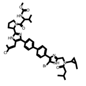 COC(=O)NC(C(=O)N1CCCC1c1nc(-c2ccc(-c3ccc(-c4nc(CN(C(=O)CC(C)C)C5CC5C)[nH]c4Br)cc3)cc2)c(/C=C(\C)Cl)[nH]1)C(C)C